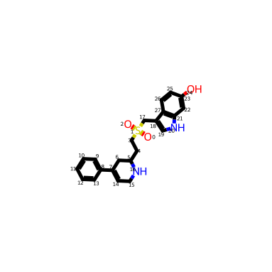 O=S(=O)(CCC1CC(c2ccccc2)=CCN1)Cc1c[nH]c2cc(O)ccc12